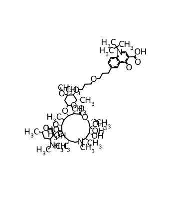 CC[C@H]1OC(=O)[C@H](C)[C@@H](O[C@H]2C[C@@](C)(OC)[C@@H](OCCCOCCCc3ccc4c(c3)c(=O)c(C(=O)O)cn4C(C)(C)C)[C@H](C)O2)[C@H](C)[C@@H](O[C@@H]2O[C@H](C)C[C@H](N(C)C)[C@H]2O)[C@](C)(O)C[C@@H](C)CN(C)[C@H](C)[C@@H](O)[C@]1(C)O